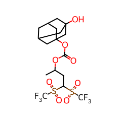 CC(CC(S(=O)(=O)C(F)(F)F)S(=O)(=O)C(F)(F)F)OC(=O)OC12CC3CC(CC(O)(C3)C1)C2